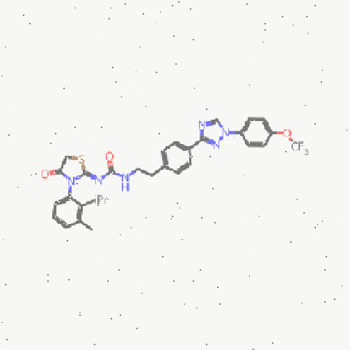 Cc1cccc(N2C(=O)CSC2=NC(=O)NCCc2ccc(-c3ncn(-c4ccc(OC(F)(F)F)cc4)n3)cc2)c1C(C)C